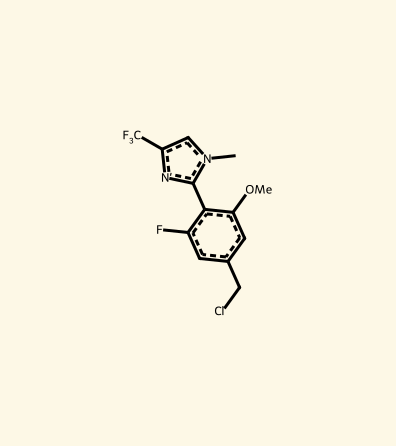 COc1cc(CCl)cc(F)c1-c1nc(C(F)(F)F)cn1C